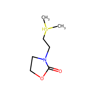 C[SH](C)CCN1CCOC1=O